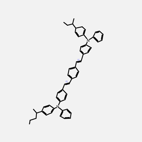 CCCC(C)c1ccc(N(c2ccccc2)c2ccc(/C=C/c3ccc(/C=C/c4ccc(N(C5=CCC(C(C)CC)C=C5)c5ccccc5)cc4)cc3)cc2)cc1